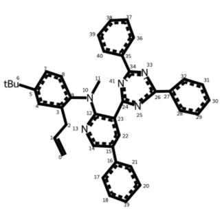 C=CCc1cc(C(C)(C)C)ccc1N(C)c1ncc(-c2ccccc2)cc1-c1nc(-c2ccccc2)nc(-c2ccccc2)n1